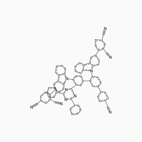 N#Cc1ccc(-c2ccc(-n3c4ccccc4c4cc(-c5ccc(C#N)cc5C#N)ccc43)c(-c3ccc(-n4c5ccccc5c5cc(-c6ccc(C#N)cc6C#N)ccc54)c(-c4nc(-c5ccccc5)nc(-c5ccccc5)n4)c3)c2)cc1